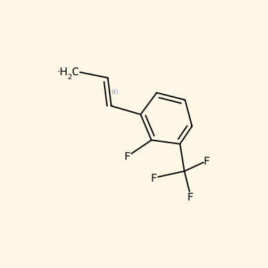 [CH2]/C=C/c1cccc(C(F)(F)F)c1F